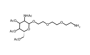 CC(=O)NC1C(OCCOCCOCCN)O[C@H](COC(C)=O)C(OC(C)=O)C1OC(C)=O